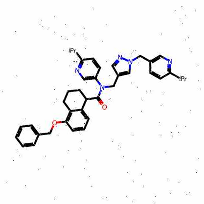 CC(C)c1ccc(Cn2cc(CN(C(=O)C3CCCc4c(OCc5ccccc5)cccc43)c3ccc(C(C)C)nc3)cn2)cn1